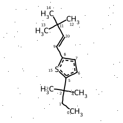 CCC(C)(C)c1ccc(/C=C/C(C)(C)C)s1